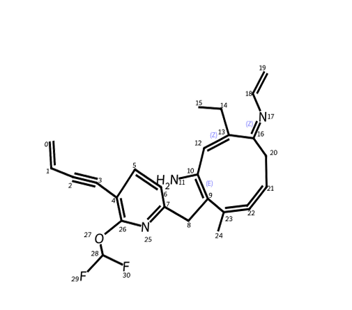 C=CC#Cc1ccc(C/C2=C(N)/C=C(CC)\C(=N/C=C)CC=C=C2C)nc1OC(F)F